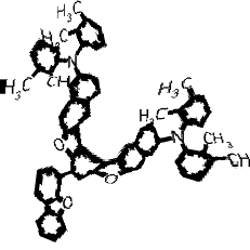 Cc1cccc(N(c2ccc3cc4c(cc3c2)oc2cc(-c3cccc5c3oc3ccccc35)c3oc5cc6cc(N(c7cccc(C)c7C)c7cccc(C)c7C)ccc6cc5c3c24)c2cccc(C)c2C)c1C